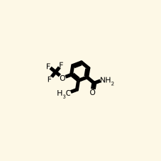 CCc1c(OC(F)(F)F)cccc1C(N)=O